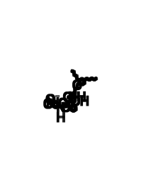 CCCCCc1ccc(OCCCCNC(=O)c2cc(OC(=O)Nc3ccc([N+](=O)[O-])cc3)c3ccccc3c2O)c(CCCCC)c1